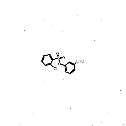 O=Cc1cccc(OS(=O)(=O)c2ccccc2Cl)c1